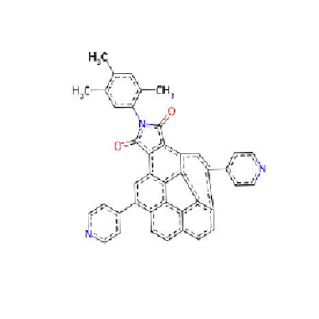 Cc1cc(C)c(-n2c(=O)c3c4cc(-c5ccncc5)c5ccc6ccc7c(-c8ccncc8)cc(c3c2=O)c2c7c6c5c42)cc1C